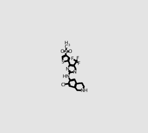 CS(=O)(=O)c1csc(-c2nc(Nc3cc4c(cc3Cl)CNCC4)ncc2C(F)(F)F)c1